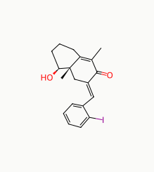 CC1=C2CCC[C@H](O)[C@@]2(C)C/C(=C\c2ccccc2I)C1=O